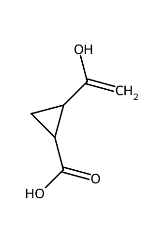 C=C(O)C1CC1C(=O)O